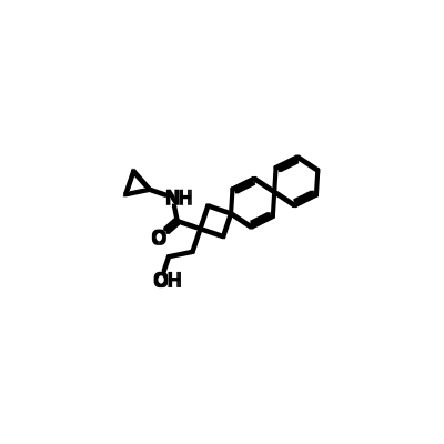 O=C(NC1CC1)C1(CCO)CC2(C=CC3(C=CCC=C3)C=C2)C1